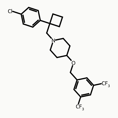 FC(F)(F)c1cc(COC2CCN(CC3(c4ccc(Cl)cc4)CCC3)CC2)cc(C(F)(F)F)c1